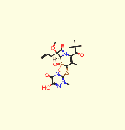 C=CC[C@@]1(OC)C(=O)N2C(C(=O)C(C)(C)C)=C(C)C(Sc3nc(=O)c(O)nn3C)S(=O)(=O)[C@H]21